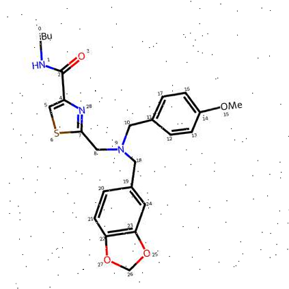 CCC(C)NC(=O)c1csc(CN(Cc2ccc(OC)cc2)Cc2ccc3c(c2)OCO3)n1